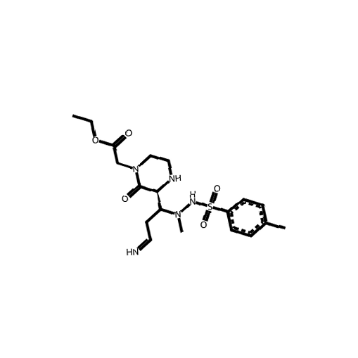 CCOC(=O)CN1CCN[C@@H](C(CC=N)N(C)NS(=O)(=O)c2ccc(C)cc2)C1=O